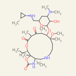 CC[C@H]1OC(=O)C(C)C(=O)[C@H](C)[C@@H](OC2OC(CN[C@@H]3C[C@H]3C)CC(N(C)C)C2O)[C@](C)(OC)CCCN[C@H](C)[C@H]2NC(=O)O[C@@]21C